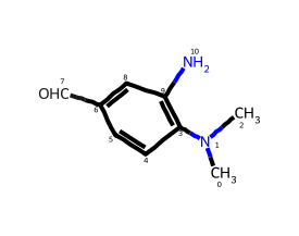 CN(C)c1ccc(C=O)cc1N